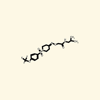 CC(C)CNC(=O)CON=C1CCN(S(=O)(=O)c2ccc(OC(F)(F)F)cc2)CC1